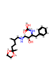 CC(CCC1(C)OCCO1)CNC[C@H](O)C(Cc1ccccc1)NC(=O)O